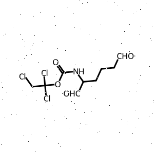 O=[C]CCCC([C]=O)NC(=O)OC(Cl)(Cl)CCl